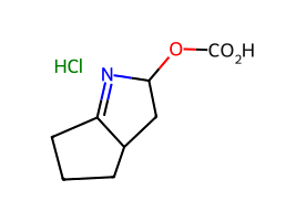 Cl.O=C(O)OC1CC2CCCC2=N1